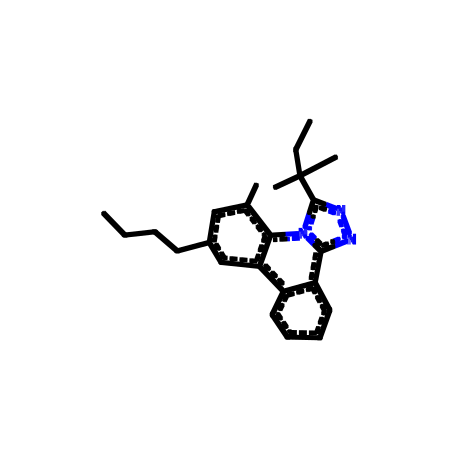 CCCCc1cc(C)c2c(c1)c1ccccc1c1nnc(C(C)(C)CC)n12